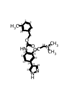 Cc1cccc(COC(=O)Nc2ccc(-c3cn[nH]c3)cc2OCCN(C)C)c1